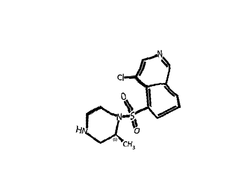 C[C@H]1CNCCN1S(=O)(=O)c1cccc2cncc(Cl)c12